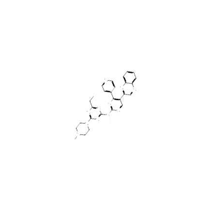 CCc1nc(Nc2ncc(-c3cnc4ccccc4n3)c(-c3ccncc3)n2)nc(N2CCN(C)CC2)n1